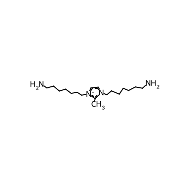 Cc1n(CCCCCCCN)cc[n+]1CCCCCCCN